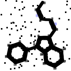 C/C=C\C=C/c1cn(-c2ccccc2)c2cccnc12